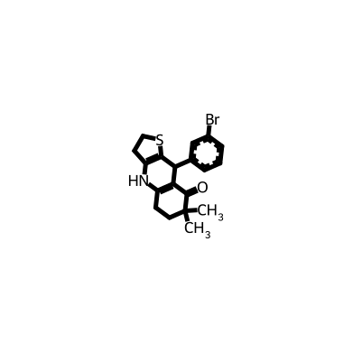 CC1(C)CCC2=C(C1=O)C(c1cccc(Br)c1)C1=C(CCS1)N2